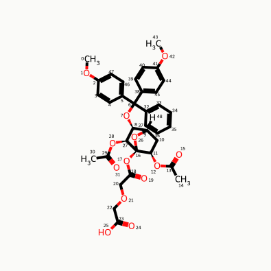 COc1ccc(C(O[C@H]2[C@@H]3C[C@@H](OC(C)=O)[C@@](OC(=O)COCC(=O)O)(O3)[C@H]2OC(C)=O)(c2ccccc2)c2ccc(OC)cc2)cc1